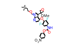 COC1(c2cn(COCC[Si](C)(C)C)c3nccc(Oc4c(F)cc(NC(=O)Oc5ccc([N+](=O)[O-])cc5)cc4F)c23)COC1